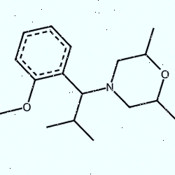 COc1ccccc1C(C(C)C)N1CC(C)OC(C)C1